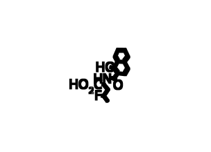 CC(F)CC(NC(=O)c1ccc2ccccc2c1O)C(=O)O